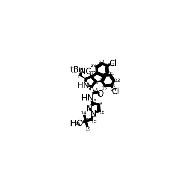 CC(C)(C)C[C@@H]1N[C@@H](C(=O)Nc2ccn(CC(C)(C)O)n2)[C@H](c2cccc(Cl)c2)[C@@]1(C#N)c1ccc(Cl)cc1